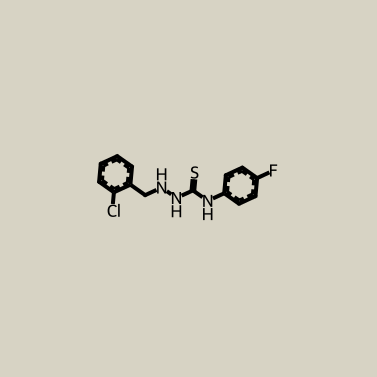 Fc1ccc(NC(=S)NNCc2ccccc2Cl)cc1